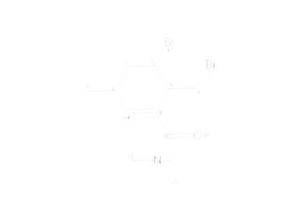 Cc1cc(Br)c(CBr)c(C(=O)N(C)C)c1